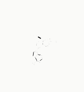 CC#C[C@@H]1OP(=O)(O)OC[C@@]1(F)O[C@H](CO)n1ccc2c(N)ncnc21